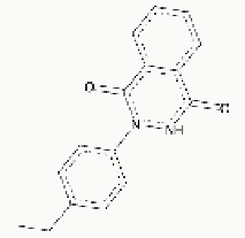 CCc1ccc(-n2[nH]c(=O)c3ccccc3c2=O)cc1